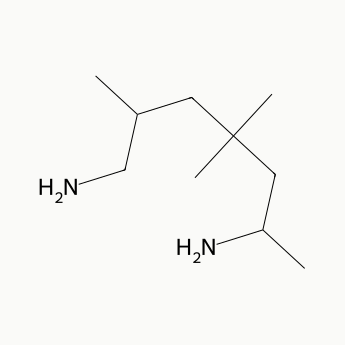 CC(N)CC(C)(C)CC(C)CN